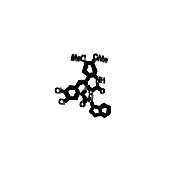 COc1cc2c(cc1OC)C(Cc1ccc(Cl)c(Cl)c1)N(CC(=O)NC1CCc3ccccc31)CC(=O)N2